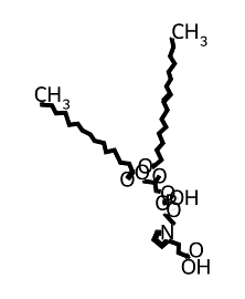 CCCCCCCCC=CCCCCCCCC(=O)OC(COC(=O)CCCCCCCCCCCCCCC)COP(=O)(O)OCCn1cccc1CCC(=O)O